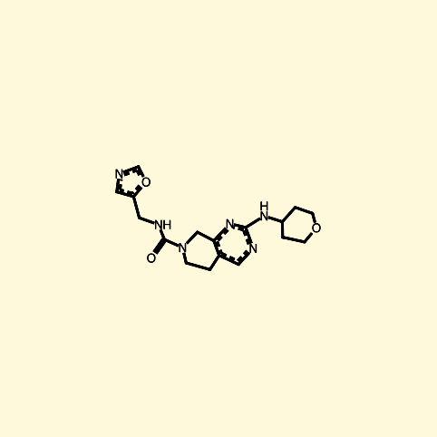 O=C(NCc1cnco1)N1CCc2cnc(NC3CCOCC3)nc2C1